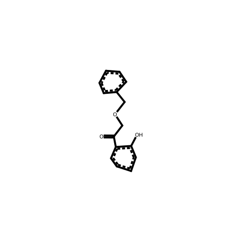 O=C(COCc1ccccc1)c1ccccc1O